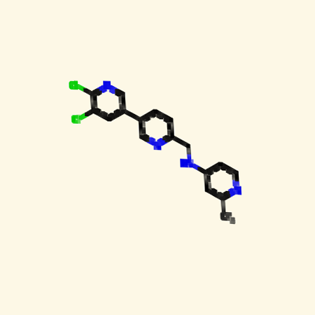 FC(F)(F)c1cc(NCc2ccc(-c3cnc(Cl)c(Cl)c3)cn2)ccn1